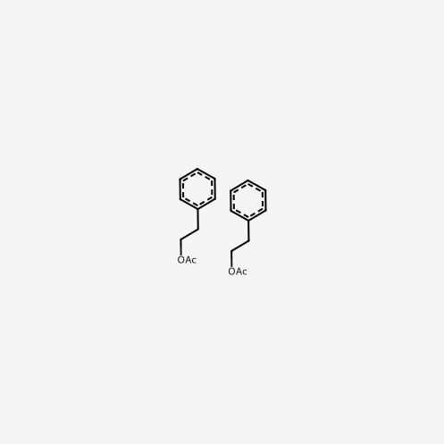 CC(=O)OCCc1ccccc1.CC(=O)OCCc1ccccc1